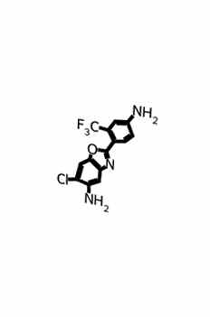 Nc1ccc(-c2nc3cc(N)c(Cl)cc3o2)c(C(F)(F)F)c1